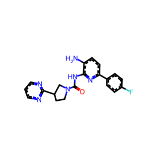 Nc1ccc(-c2ccc(F)cc2)nc1NC(=O)N1CCC(c2ncccn2)C1